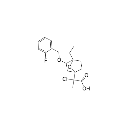 CCC12CCC(C(C)(Cl)C(=O)O)(CC1OCc1ccccc1F)O2